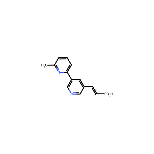 Cc1cccc(-c2cncc(/C=C/C(=O)O)c2)n1